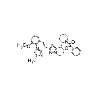 COc1cccc(C=Cc2nc3n(n2)CCCC3C2CCCCN2S(=O)(=O)c2ccccc2)c1-n1cnc(C)c1